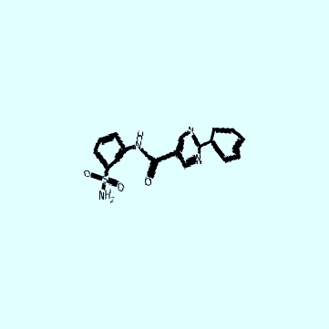 NS(=O)(=O)c1cccc(NC(=O)c2cnc(-c3ccccc3)nc2)c1